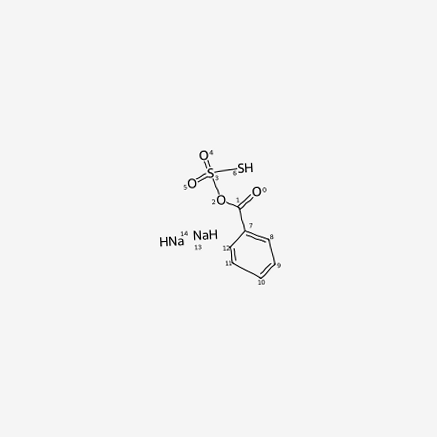 O=C(OS(=O)(=O)S)c1ccccc1.[NaH].[NaH]